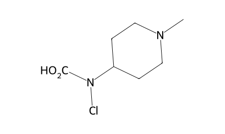 CN1CCC(N(Cl)C(=O)O)CC1